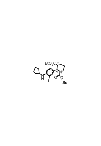 CCOC(=O)[C@H]1CCCN(C(=O)OC(C)(C)C)[C@H]1c1ccc(NC2CCCC2)c(I)c1